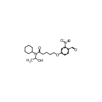 CC(O)N(C(=O)CCCCOc1ccc(C=O)c([N+](=O)[O-])c1)C1CCCCC1